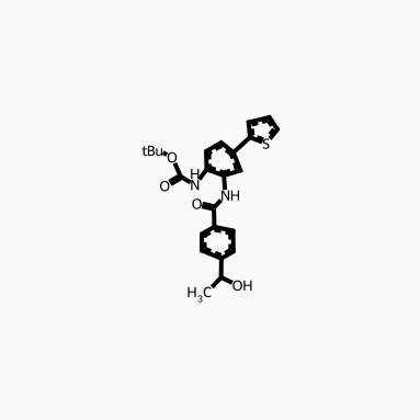 CC(O)c1ccc(C(=O)Nc2cc(-c3cccs3)ccc2NC(=O)OC(C)(C)C)cc1